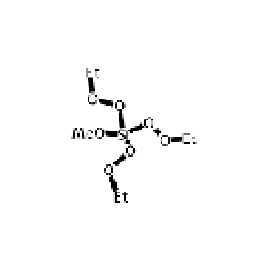 CCOO[Si](OC)(OOCC)OOCC